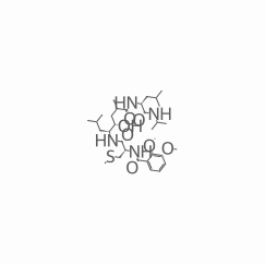 COc1cccc(C(=O)N[C@@H](CSC)C(=O)N[C@@H](CC(C)C)[C@@H](O)C[C@@H](C)C(=O)N[C@@H](CC(C)C)C(=O)NC(C)C)c1OC